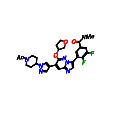 CNC(=O)c1cc(F)c(F)c(-c2cnc3cc(-c4cnn(C5CCN(C(C)=O)CC5)c4)c(O[C@H]4CCOC4)nn23)c1